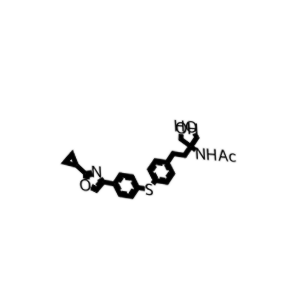 CC(=O)NC(CO)(CO)CCc1ccc(Sc2ccc(-c3coc(C4CC4)n3)cc2)cc1